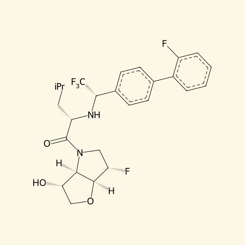 CC(C)C[C@H](N[C@@H](c1ccc(-c2ccccc2F)cc1)C(F)(F)F)C(=O)N1C[C@H](F)[C@H]2OC[C@H](O)[C@H]21